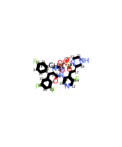 CN(C(=O)O)[C@H](C(=O)Nc1cncc(F)c1CC[C@@H]1CNCCN1S(C)(=O)=O)[C@@H](c1ccc(F)cc1)c1cc(F)cc(F)c1